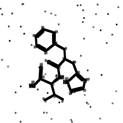 CC(C)[C@H](NC(=O)C(Cc1ccccc1)Cc1ncc[nH]1)C(=O)O